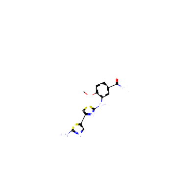 COc1ccc(C(N)=O)cc1Nc1nc(-c2cnc(N)s2)cs1